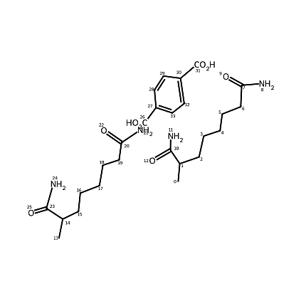 CC(CCCCCC(N)=O)C(N)=O.CC(CCCCCC(N)=O)C(N)=O.O=C(O)c1ccc(C(=O)O)cc1